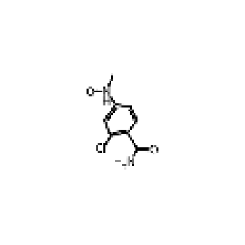 C[NH+]([O-])c1ccc(C(N)=O)c(Cl)c1